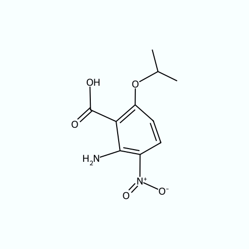 CC(C)Oc1ccc([N+](=O)[O-])c(N)c1C(=O)O